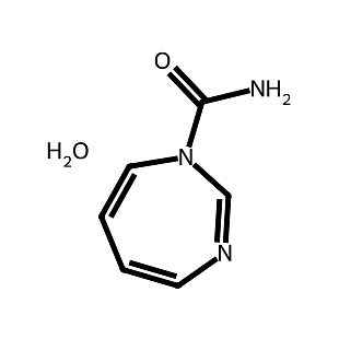 NC(=O)N1C=CC=CN=C1.O